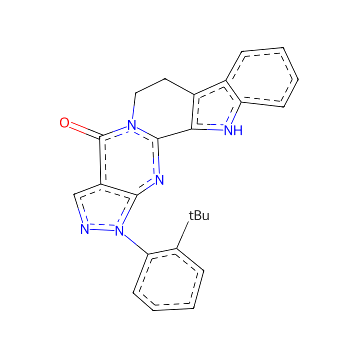 CC(C)(C)c1ccccc1-n1ncc2c(=O)n3c(nc21)-c1[nH]c2ccccc2c1CC3